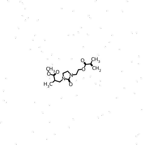 C=C(C)C(=O)OCCN1CCN(CC(C)C(=O)OC)C1=O